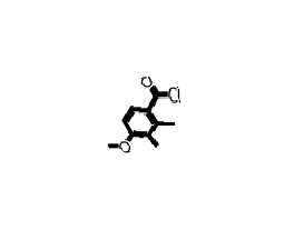 COc1ccc(C(=O)Cl)c(C)c1C